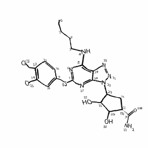 CCCCNc1nc(Sc2ccc(Cl)c(Cl)c2)nc2c1nnn2C1C[C@H](C(N)=O)C(O)C1O